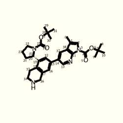 Cc1cn(C(=O)OC(C)(C)C)c2ncc(-c3cc4c(c([C@@H]5CCCN5C(=O)OC(C)(C)C)c3)CCNC4)cc12